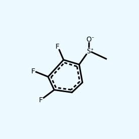 C[S+]([O-])c1ccc(F)c(F)c1F